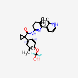 C=C(/C=C(\C=C/COC(O)(F)F)C1(C(=O)NC2=NC(C3=CC=CNC3=C)=C(C)CC2)CC1)CC